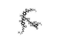 CCCCOC(=O)c1ccc(Nc2nc(NCCCCNC(=O)Nc3nc(=O)cc(C)[nH]3)nc(Nc3ccc(C(=O)OCCCC)cc3)n2)cc1